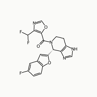 O=C(c1ocnc1C(F)F)N1CCc2[nH]cnc2[C@@H]1c1cc2cc(F)ccc2o1